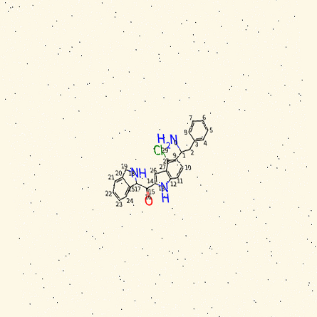 NC(Cc1ccccc1)c1ccc2[nH]c(C(=O)C3NCc4ccccc43)cc2c1Cl